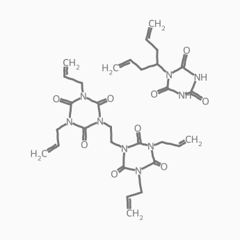 C=CCC(CC=C)n1c(=O)[nH]c(=O)[nH]c1=O.C=CCn1c(=O)n(CC=C)c(=O)n(CCn2c(=O)n(CC=C)c(=O)n(CC=C)c2=O)c1=O